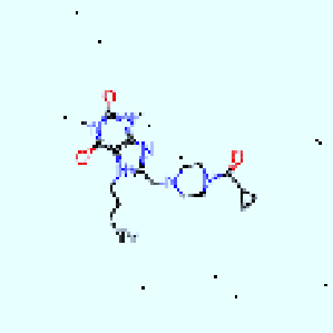 CC(C)CCCn1c(CN2CCN(C(=O)C3CC3)CC2)nc2c1c(=O)n(C)c(=O)n2C